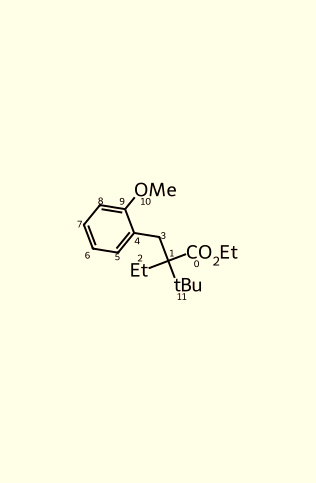 CCOC(=O)C(CC)(Cc1ccccc1OC)C(C)(C)C